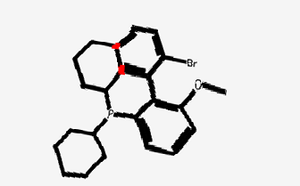 COc1cccc(P(C2CCCCC2)C2CCCCC2)c1-c1ccccc1Br